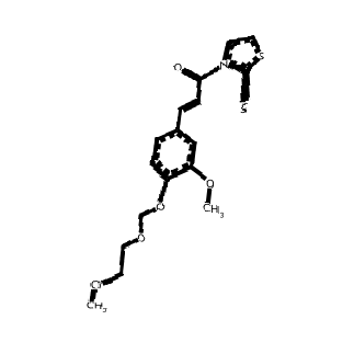 COCCOCOc1ccc(C=CC(=O)n2ccsc2=S)cc1OC